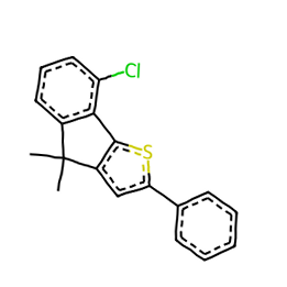 CC1(C)c2cc(-c3ccccc3)sc2-c2c(Cl)cccc21